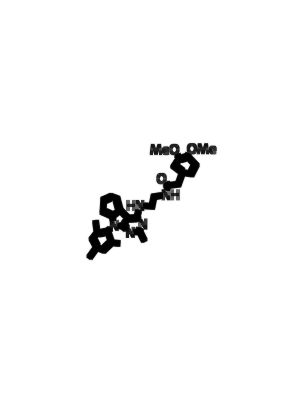 COc1ccc(CC(=O)NCCNc2nc(C)nc3c2c2ccccc2n3-c2c(C)cc(C)cc2C)cc1OC